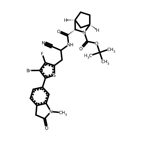 CN1C(=O)Cc2ccc(-c3sc(CC(C#N)NC(=O)[C@@H]4[C@H]5CC[C@H](C5)N4C(=O)OC(C)(C)C)c(F)c3Br)cc21